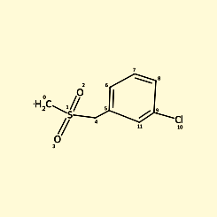 [CH2]S(=O)(=O)Cc1cccc(Cl)c1